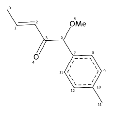 C/C=C/C(=O)C(OC)c1ccc(C)cc1